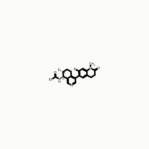 CCC(=O)N[C@@H]1c2cncc(-c3cc4c(cc3F)N(C)C(=O)CC4)c2CC[C@H]1F